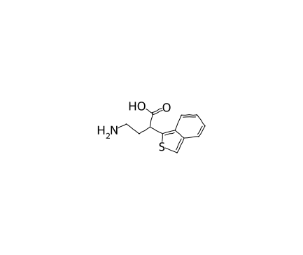 NCCC(C(=O)O)c1scc2ccccc12